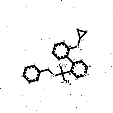 CC(C)(OCc1ccccc1)c1cnccc1-c1ccccc1OC1CC1